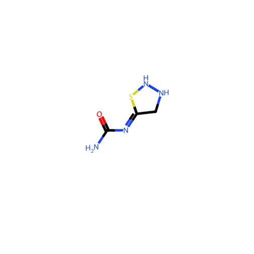 NC(=O)N=C1CNNS1